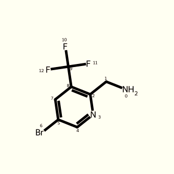 NCc1ncc(Br)cc1C(F)(F)F